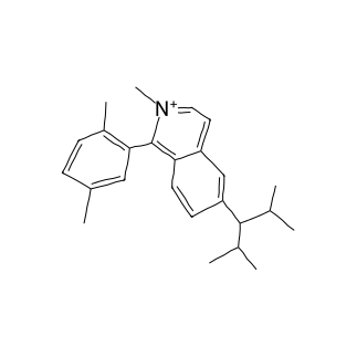 Cc1ccc(C)c(-c2c3ccc(C(C(C)C)C(C)C)cc3cc[n+]2C)c1